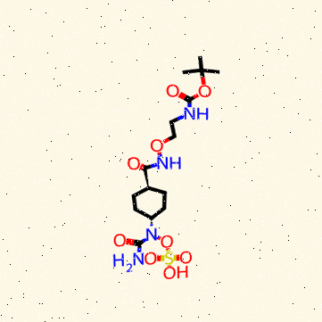 CC(C)(C)OC(=O)NCCONC(=O)[C@H]1CC[C@H](N(OS(=O)(=O)O)C(N)=O)CC1